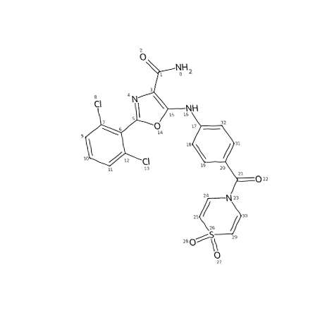 NC(=O)c1nc(-c2c(Cl)cccc2Cl)oc1Nc1ccc(C(=O)N2C=CS(=O)(=O)C=C2)cc1